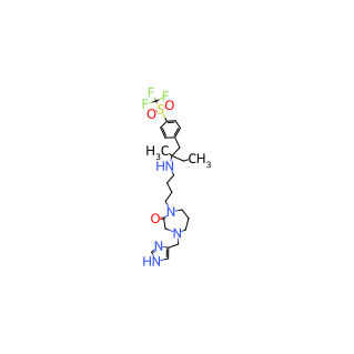 CCC(C)(Cc1ccc(S(=O)(=O)C(F)(F)F)cc1)NCCCCN1CCCN(Cc2c[nH]cn2)CC1=O